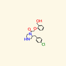 O=C(COc1ccccc1CO)N1CCNCC1Cc1ccc(Cl)cc1